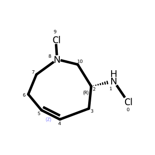 ClN[C@@H]1C/C=C\CCN(Cl)C1